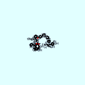 CCNC(=O)c1nnc(-c2cc(C(C)C)c(O)cc2O)n1-c1ccc(OC2CCN(c3ncnc(N4CCC(C(=O)O[C@@H](C(=O)O[C@H]5CC6(O)[C@@H](OC(=O)c7ccccc7)[C@@H]7[C@]8(OC(C)=O)CO[C@@H]8C[C@H](O)[C@@]7(C)C(=O)[C@H](O)C(=C5C)C6(C)C)[C@@H](NC(=O)OC(C)(C)C)c5ccccc5)CC4)n3)CC2)cc1